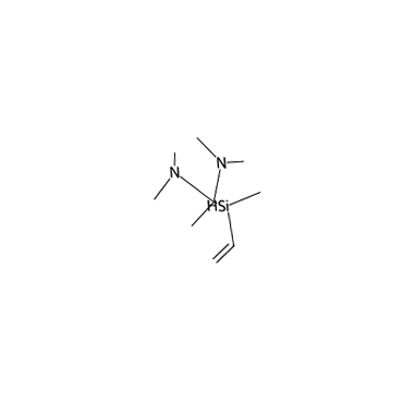 C=C[SiH](C)C(C)(N(C)C)N(C)C